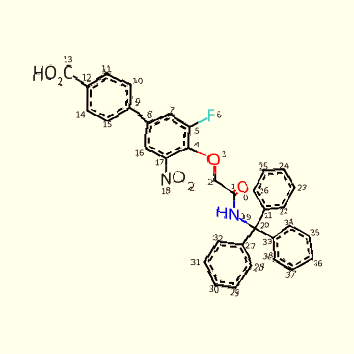 O=C(COc1c(F)cc(-c2ccc(C(=O)O)cc2)cc1[N+](=O)[O-])NC(c1ccccc1)(c1ccccc1)c1ccccc1